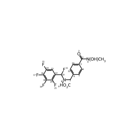 CN(O)C(=O)c1ccc(CN(C(=O)O)C(F)c2cc(F)c(F)c(F)c2F)cc1